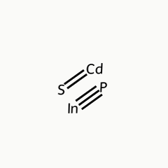 [P]#[In].[S]=[Cd]